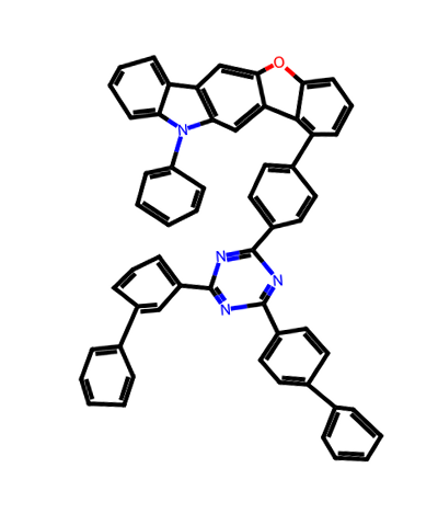 c1ccc(-c2ccc(-c3nc(-c4ccc(-c5cccc6oc7cc8c9ccccc9n(-c9ccccc9)c8cc7c56)cc4)nc(-c4cccc(-c5ccccc5)c4)n3)cc2)cc1